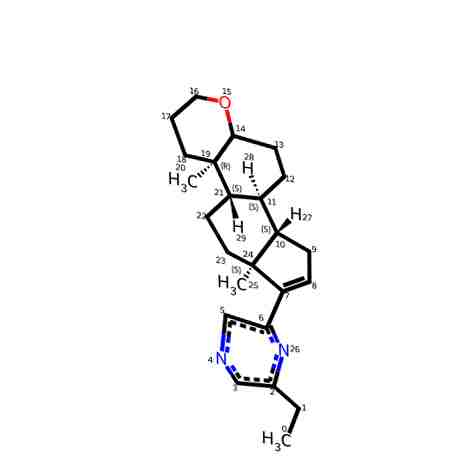 CCc1cncc(C2=CC[C@H]3[C@@H]4CCC5OCCC[C@]5(C)[C@H]4CC[C@]23C)n1